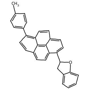 Cc1ccc(-c2ccc3ccc4c(C5Cc6ccccc6O5)ccc5ccc2c3c54)cc1